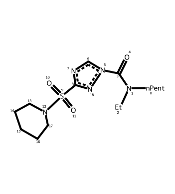 CCCCCN(CC)C(=O)n1cnc(S(=O)(=O)N2CCCCC2)n1